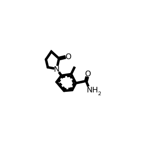 Cc1c(C(N)=O)cccc1N1CCCC1=O